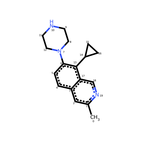 Cc1cc2ccc(N3CCNCC3)c(C3CC3)c2cn1